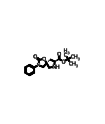 CC(C)(C)OC(=O)[C@@H]1C[C@]2(CN1)CN(c1ccccc1)C(=O)O2